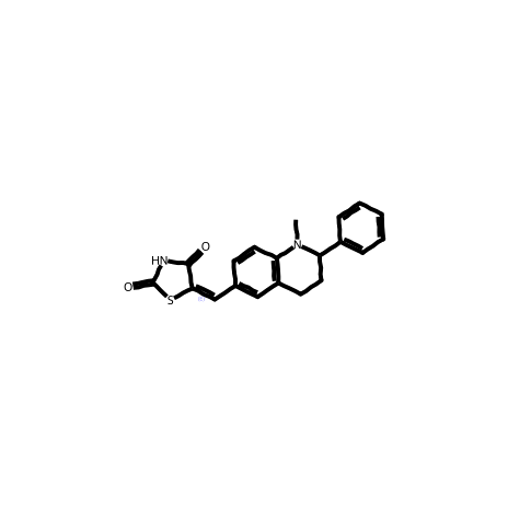 CN1c2ccc(/C=C3/SC(=O)NC3=O)cc2CCC1c1ccccc1